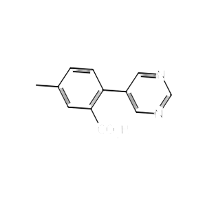 Cc1ccc(-c2cncnc2)c(C(=O)O)c1